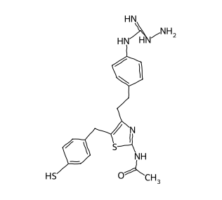 CC(=O)Nc1nc(CCc2ccc(NC(=N)NN)cc2)c(Cc2ccc(S)cc2)s1